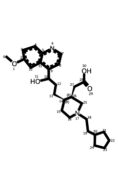 COc1ccc2nccc(C(O)CC[C@@H]3CCN(CCC4CCCC4)C[C@@H]3CC(=O)O)c2c1